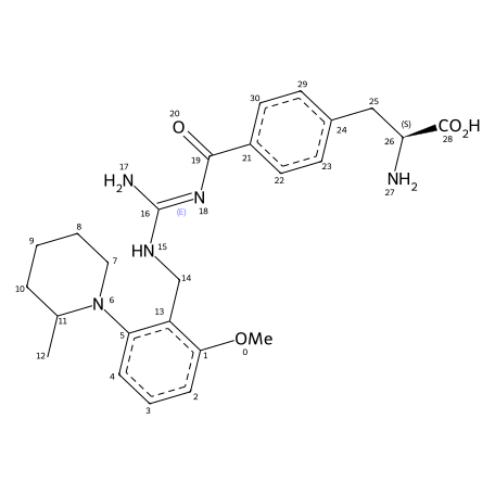 COc1cccc(N2CCCCC2C)c1CN/C(N)=N/C(=O)c1ccc(C[C@H](N)C(=O)O)cc1